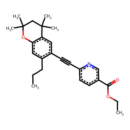 CCCc1cc2c(cc1C#Cc1ccc(C(=O)OCC)cn1)C(C)(C)CC(C)(C)O2